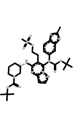 Cc1nc2ccc(N(C(=O)OC(C)(C)C)c3c(CCOS(C)(=O)=O)c(N[C@H]4CCCN(C(=O)OC(C)(C)C)C4)nc4ccnn34)cc2s1